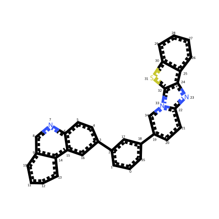 c1cc(-c2ccc3ncc4ccccc4c3c2)cc(-c2ccc3nc4c5ccccc5sc4n3c2)c1